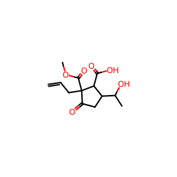 C=CCC1(C(=O)OC)C(=O)CC(C(C)O)C1C(=O)O